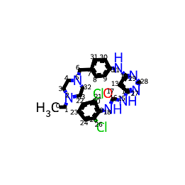 CCN1CCN(Cc2ccc(Nc3cc(NC(=O)Nc4c(Cl)cccc4Cl)ncn3)cc2)CC1